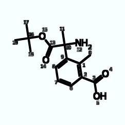 Cc1c(C(=O)O)cccc1C(C)(N)C(=O)OC(C)(C)C